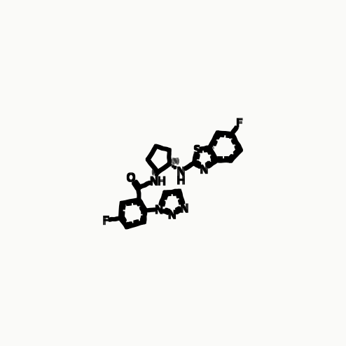 O=C(N[C@@H]1CCC[C@@H]1Nc1nc2ccc(F)cc2s1)c1cc(F)ccc1-n1ccnn1